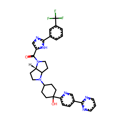 O=C(c1cnc(-c2cccc(C(F)(F)F)c2)[nH]1)N1CCC2[C@@H]1CCN2C1CCC(O)(c2ccc(-c3ncccn3)cn2)CC1